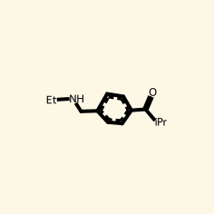 CCNCc1ccc(C(=O)C(C)C)cc1